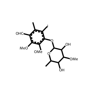 COc1c(C=O)c(C)c(I)c(OC2OC(C)C(O)C(OC)C2O)c1OC